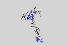 CCC(C)C(C)NCCCCCCCCCCN